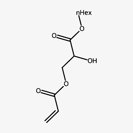 C=CC(=O)OCC(O)C(=O)OCCCCCC